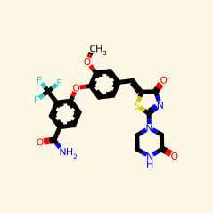 COc1cc(/C=C2\SC(N3CCNC(=O)C3)=NC2=O)ccc1Oc1ccc(C(N)=O)cc1C(F)(F)F